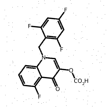 O=C(O)Oc1cn(Cc2c(F)cc(F)cc2F)c2cccc(F)c2c1=O